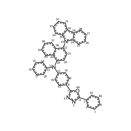 c1ccc(-c2nnc(-c3ccc(N(c4ccccc4)c4ccc(-n5c6ccccc6c6ccccc65)c5ccccc45)cc3)o2)cc1